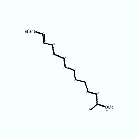 [CH2]C(CCCCCCCCCC=CCCCCC)OC